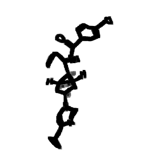 CCC(NC(=O)c1ccc(Cl)cc1)[C@H]1[C@@H]2C[C@@H](n3cnc(C4CC4)c3)C[C@@H]21